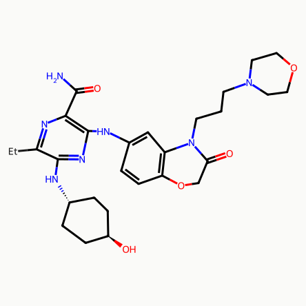 CCc1nc(C(N)=O)c(Nc2ccc3c(c2)N(CCCN2CCOCC2)C(=O)CO3)nc1N[C@H]1CC[C@H](O)CC1